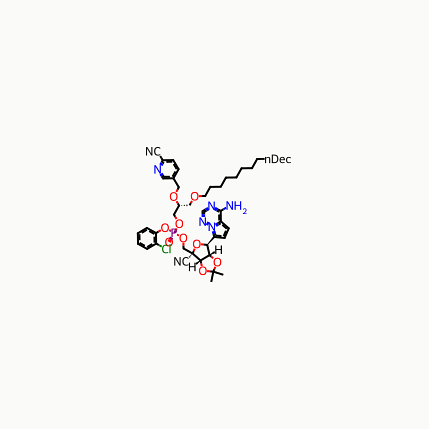 CCCCCCCCCCCCCCCCCCOC[C@H](COP(=O)(OC[C@@]1(C#N)O[C@@H](c2ccc3c(N)ncnn23)[C@@H]2OC(C)(C)O[C@@H]21)Oc1ccccc1Cl)OCc1ccc(C#N)nc1